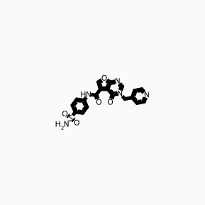 NS(=O)(=O)c1ccc(NC(=O)c2coc3ncn(Cc4ccncc4)c(=O)c23)cc1